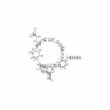 CNCc1cccc2c1OCCOCCOCCN(CCN(C)C)Sc1ccc(cc1)-c1cnc(N)c(n1)C(=O)N2